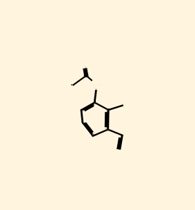 C=Cc1cccc(OC(=O)I)c1C